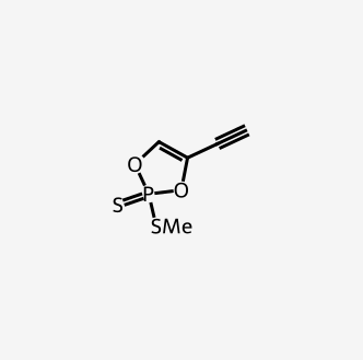 C#CC1=COP(=S)(SC)O1